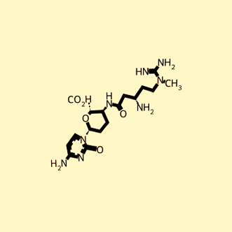 CN(CC[C@H](N)CC(=O)N[C@H]1CC[C@H](n2ccc(N)nc2=O)O[C@@H]1C(=O)O)C(=N)N